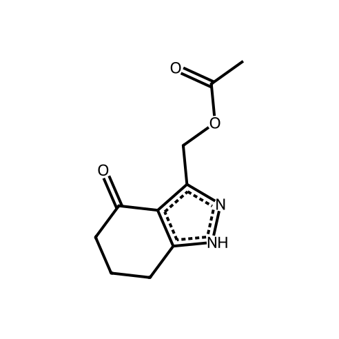 CC(=O)OCc1n[nH]c2c1C(=O)CCC2